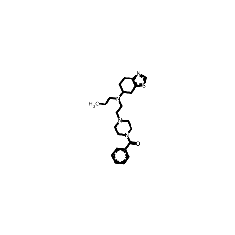 CCCN(CCN1CCN(C(=O)c2ccccc2)CC1)C1CCc2ncsc2C1